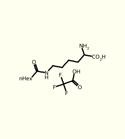 CCCCCCC(=O)NCCCCC(N)C(=O)O.O=C(O)C(F)(F)F